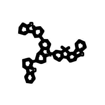 CC1(C)c2cc(-n3c4ccc(-c5ccc6oc7ccccc7c6c5)cc4c4cc(-c5cccc6c5oc5ccccc56)ccc43)ccc2-c2ccc3oc4ccccc4c3c21